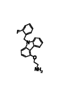 NCCOc1cccc2c1c1ccccc1n2Cc1ccccc1F